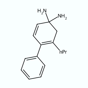 CCCC1=C(c2ccccc2)C=CC(N)(N)C1